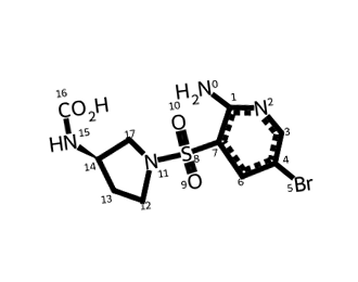 Nc1ncc(Br)cc1S(=O)(=O)N1CC[C@@H](NC(=O)O)C1